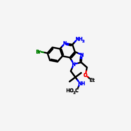 CCOCc1nc2c(N)nc3cc(Br)ccc3c2n1CC(C)(C)NC(=O)O